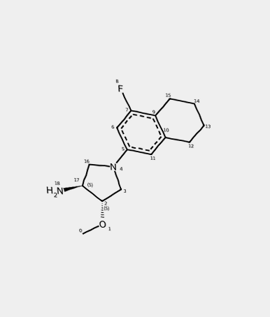 CO[C@H]1CN(c2cc(F)c3c(c2)CCCC3)C[C@@H]1N